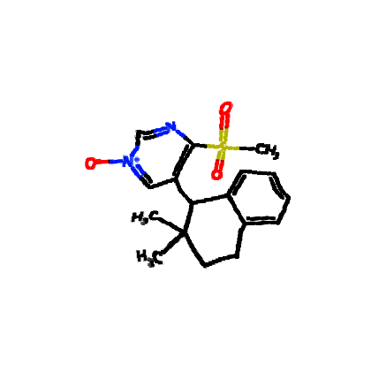 CC1(C)CCc2ccccc2C1c1c[n+]([O-])cnc1S(C)(=O)=O